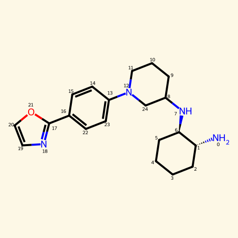 N[C@@H]1CCCC[C@H]1NC1CCCN(c2ccc(-c3ncco3)cc2)C1